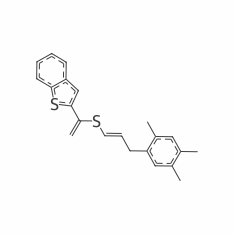 C=C(S/C=C/Cc1cc(C)c(C)cc1C)c1cc2ccccc2s1